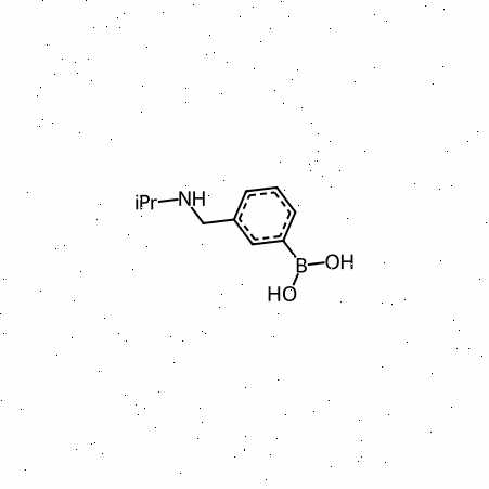 CC(C)NCc1cccc(B(O)O)c1